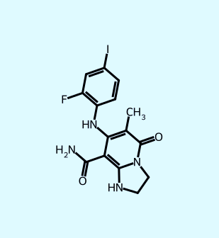 Cc1c(Nc2ccc(I)cc2F)c(C(N)=O)c2n(c1=O)CCN2